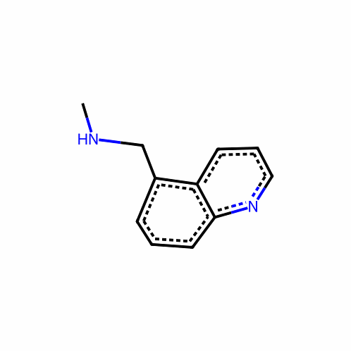 CNCc1cccc2ncccc12